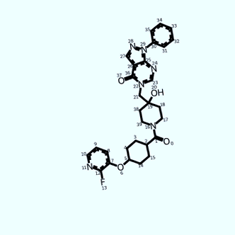 O=C(C1CCC(Oc2cccnc2F)CC1)N1CCC(O)(Cn2cnc3c(cnn3-c3ccccc3)c2=O)CC1